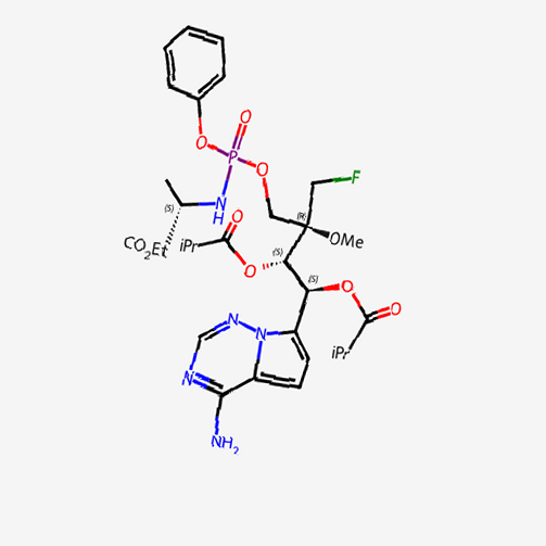 CCOC(=O)[C@H](C)NP(=O)(OC[C@@](CF)(OC)[C@@H](OC(=O)C(C)C)[C@@H](OC(=O)C(C)C)c1ccc2c(N)ncnn12)Oc1ccccc1